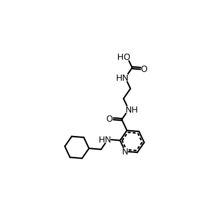 O=C(O)NCCNC(=O)c1cccnc1NCC1CCCCC1